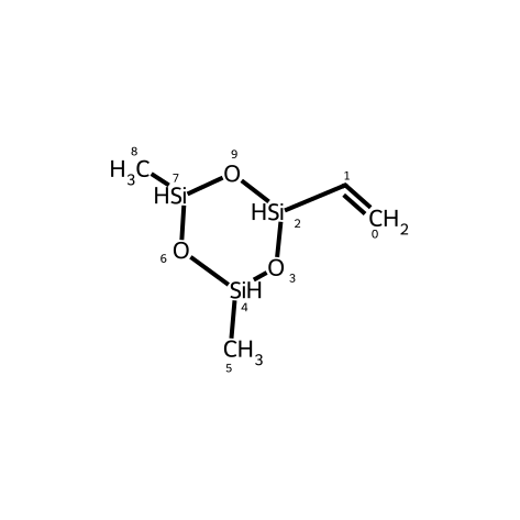 C=C[SiH]1O[SiH](C)O[SiH](C)O1